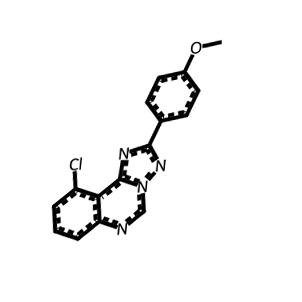 COc1ccc(-c2nc3c4c(Cl)cccc4ncn3n2)cc1